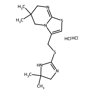 CC1(C)CN=C2SC=C(CSC3=NCC(C)(C)N3)N2C1.Cl.Cl